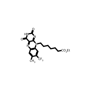 CCOC(=O)CCCCCCn1c2nc(=O)[nH]c(=O)c-2nc2cc(C)c(C(F)(F)F)cc21